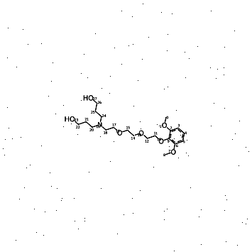 COc1cccc(OC)c1OCCOCCOCCN(CCCO)CCCO